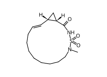 CN1CCCCCCCC/C=C/[C@@H]2C[C@@H]2C(=O)NS1(=O)=O